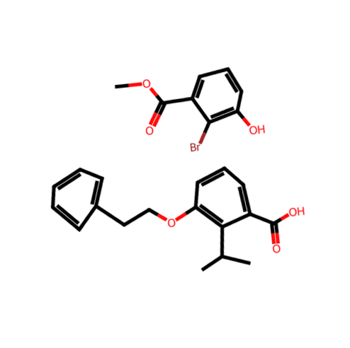 CC(C)c1c(OCCc2ccccc2)cccc1C(=O)O.COC(=O)c1cccc(O)c1Br